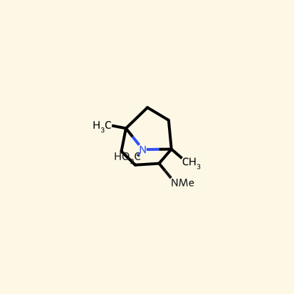 CNC1CCC2(C)CCC1(C)N2C(=O)O